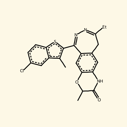 CCC1=NN=C(c2sc3ccc(Cl)cc3c2C)c2cc3c(cc2C1)NC(=O)C(C)O3